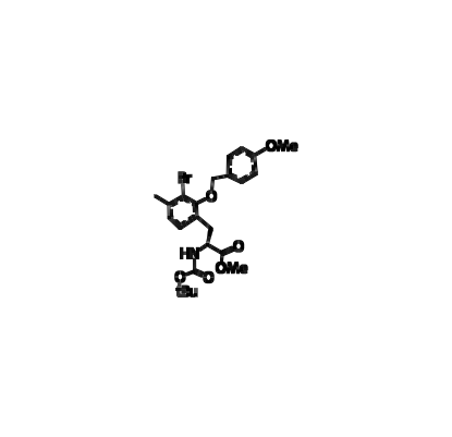 COC(=O)[C@H](Cc1ccc(C)c(Br)c1OCc1ccc(OC)cc1)NC(=O)OC(C)(C)C